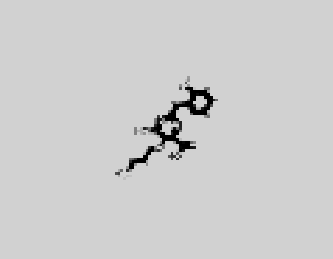 CCCCOc1c(O)nc(Cc2ccccc2Br)nc1C(=O)O